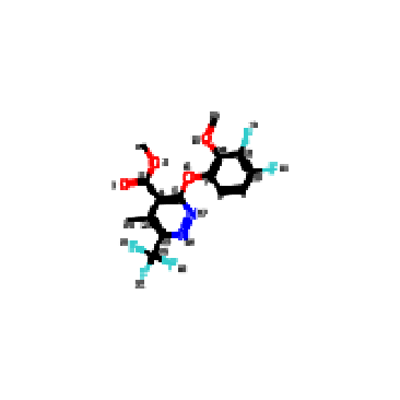 COC(=O)c1c(Oc2ccc(F)c(F)c2OC)nnc(C(F)(F)F)c1C